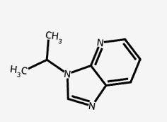 CC(C)n1cnc2cccnc21